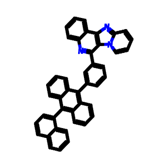 c1cc(-c2c3ccccc3c(-c3cccc4ccccc34)c3ccccc23)cc(-c2nc3ccccc3c3nc4ccccn4c23)c1